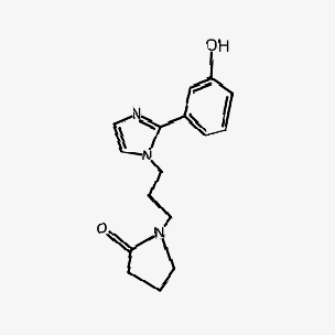 O=C1CCCN1CCCn1ccnc1-c1cccc(O)c1